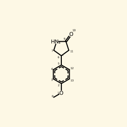 COc1ccc([C]2CNC(=O)C2)cc1